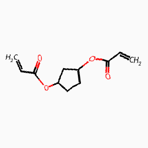 C=CC(=O)OC1CCC(OC(=O)C=C)C1